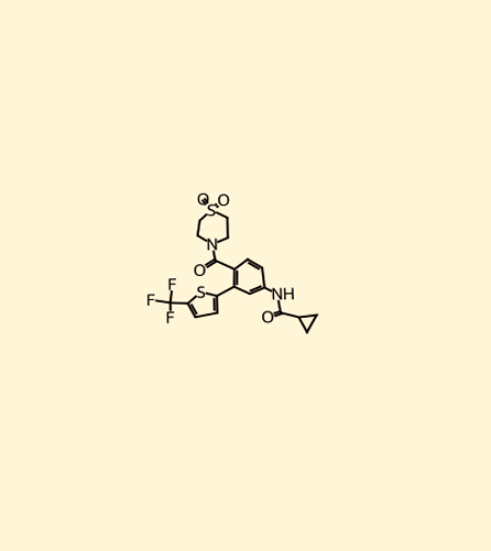 O=C(Nc1ccc(C(=O)N2CCS(=O)(=O)CC2)c(-c2ccc(C(F)(F)F)s2)c1)C1CC1